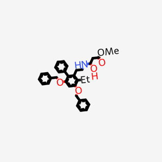 CCc1c(OCc2ccccc2)cc(OCc2ccccc2)c(-c2ccccc2)c1CCNC(O)CC(=O)OC